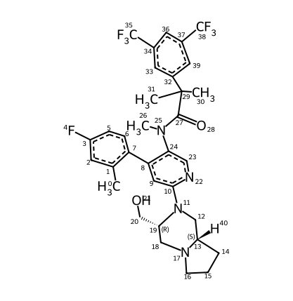 Cc1cc(F)ccc1-c1cc(N2C[C@@H]3CCCN3C[C@@H]2CO)ncc1N(C)C(=O)C(C)(C)c1cc(C(F)(F)F)cc(C(F)(F)F)c1